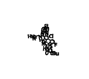 CCS(=O)(=O)c1nc(NCc2cn[nH]c2)c2c3c(c(-c4ccc(F)c5sc(NC(=O)OC(C)(C)C)c(C#N)c45)c(Cl)c2n1)COC3